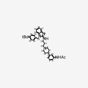 CC(=O)Nc1cccc(C2CCN(CCCNc3nc4ccccc4n3Cc3ccc(C(C)(C)C)cc3)CC2)c1